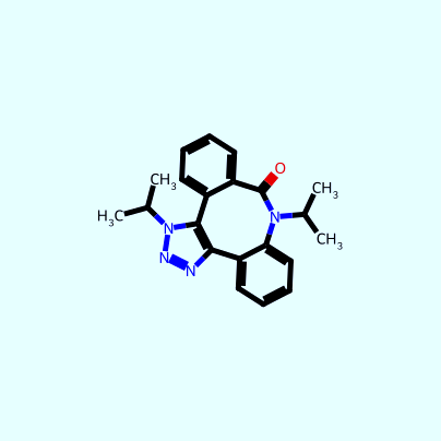 CC(C)N1C(=O)c2ccccc2-c2c(nnn2C(C)C)-c2ccccc21